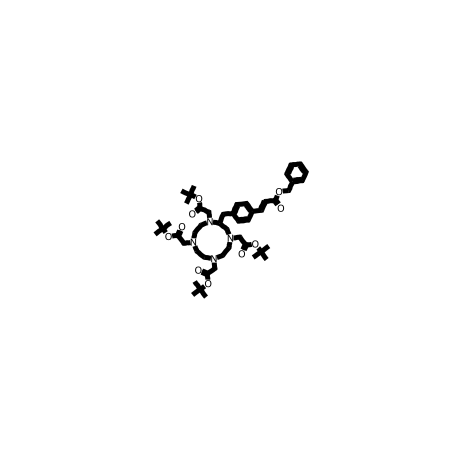 CC(C)(C)OC(=O)CN1CCN(CC(=O)OC(C)(C)C)CCN(CC(=O)OC(C)(C)C)C(Cc2ccc(/C=C/C(=O)OCc3ccccc3)cc2)CN(CC(=O)OC(C)(C)C)CC1